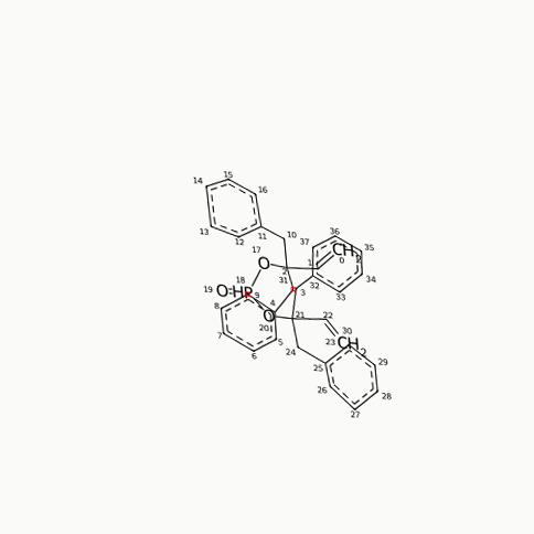 C=CC(Cc1ccccc1)(Cc1ccccc1)O[PH](=O)OC(C=C)(Cc1ccccc1)Cc1ccccc1